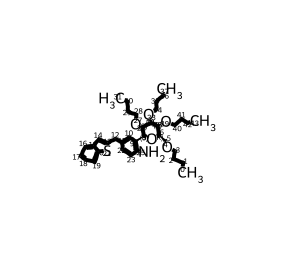 CCCCOC[C@H]1O[C@@H](c2cc(Cc3cc4ccccc4s3)ccc2N)[C@H](OCCCC)[C@@H](OCCCC)[C@@H]1OCCCC